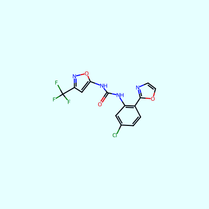 O=C(Nc1cc(C(F)(F)F)no1)Nc1cc(Cl)ccc1-c1ncco1